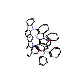 c1ccc(-c2cccc(-n3c4ccccc4c4cccc(-n5c6cc([Si](c7ccccc7)(c7ccccc7)c7ccccc7)ccc6c6cccc(-n7c8ccccc8c8ccccc87)c65)c43)c2)cc1